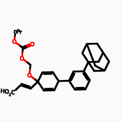 CCCOC(=O)OCOC1(/C=C/C(=O)O)C=CC(c2cccc(C34CC5CC(CC(C5)C3)C4)c2)C=C1